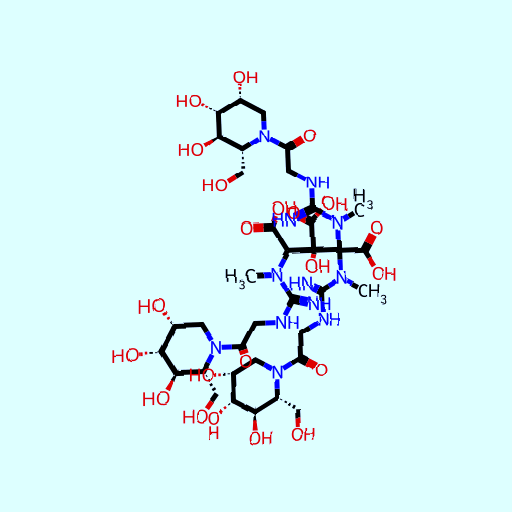 CN(C(=N)NCC(=O)N1C[C@@H](O)[C@@H](O)[C@H](O)[C@H]1CO)C(C(=O)O)C(O)(C(=O)O)C(C(=O)O)(N(C)C(=N)NCC(=O)N1C[C@@H](O)[C@@H](O)[C@H](O)[C@H]1CO)N(C)C(=N)NCC(=O)N1C[C@@H](O)[C@@H](O)[C@H](O)[C@H]1CO